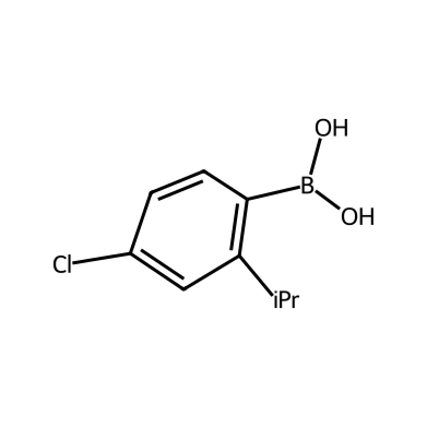 CC(C)c1cc(Cl)ccc1B(O)O